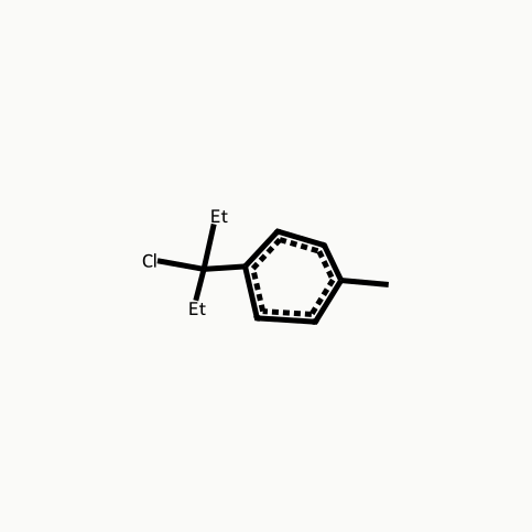 CCC(Cl)(CC)c1ccc(C)cc1